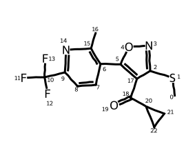 CSc1noc(-c2ccc(C(F)(F)F)nc2C)c1C(=O)C1CC1